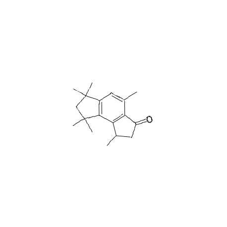 Cc1cc2c(c3c1C(=O)CC3C)C(C)(C)CC2(C)C